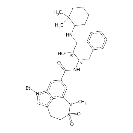 CCn1cc2c3c(cc(C(=O)N[C@@H](Cc4ccccc4)[C@H](O)CNC4CCCCC4(C)C)cc31)N(C)S(=O)(=O)CC2